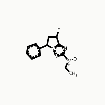 CC[S@+]([O-])c1nc2n(n1)C(c1ccccc1)CC2F